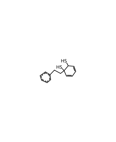 SC1C=CC=CC1(S)CCc1ccccc1